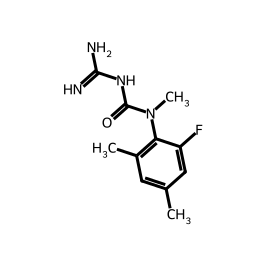 Cc1cc(C)c(N(C)C(=O)NC(=N)N)c(F)c1